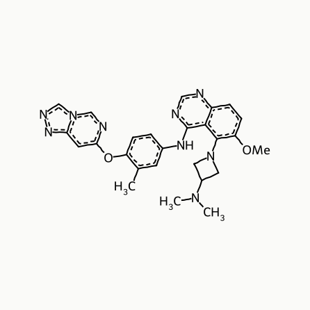 COc1ccc2ncnc(Nc3ccc(Oc4cc5nncn5cn4)c(C)c3)c2c1N1CC(N(C)C)C1